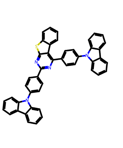 c1ccc2c(c1)sc1nc(-c3ccc(-n4c5ccccc5c5ccccc54)cc3)nc(-c3ccc(-n4c5ccccc5c5ccccc54)cc3)c12